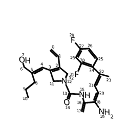 C=CC1=C(/C=C(/CO)CCC)CN(C(=O)NC(=C)/C(N)=C\C=C(/C)c2ccc(F)cc2F)C1